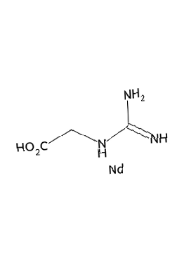 N=C(N)NCC(=O)O.[Nd]